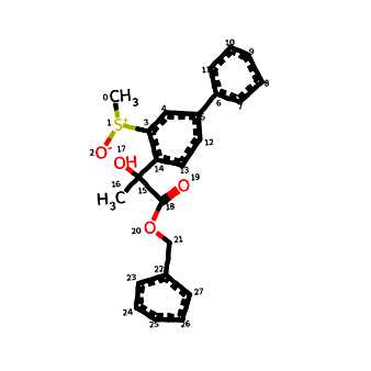 C[S+]([O-])c1cc(-c2ccccc2)ccc1C(C)(O)C(=O)OCc1ccccc1